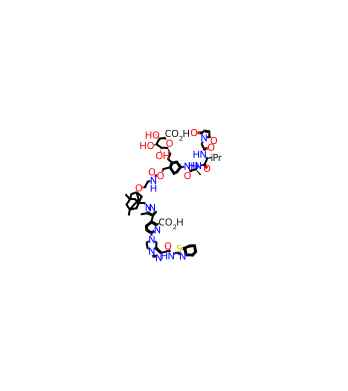 Cc1c(-c2ccc(N3CCn4cnc(C(=O)Nc5nc6ccccc6s5)c4C3)nc2C(=O)O)cnn1CC12CC3(C)CC(C)(C1)CC(OCCNC(=O)OCc1ccc(NC(=O)[C@H](C)NC(=O)[C@@H](NC(=O)CN4C(=O)C=CC4=O)C(C)C)cc1CC[C@@H]1O[C@H](C(=O)O)[C@@H](O)[C@H](O)[C@H]1O)(C3)C2